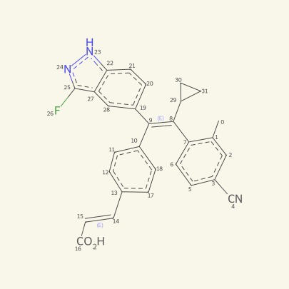 Cc1cc(C#N)ccc1/C(=C(\c1ccc(/C=C/C(=O)O)cc1)c1ccc2[nH]nc(F)c2c1)C1CC1